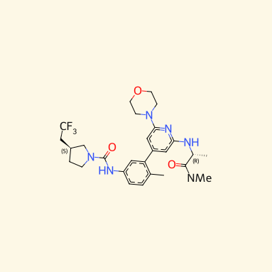 CNC(=O)[C@@H](C)Nc1cc(-c2cc(NC(=O)N3CC[C@@H](CC(F)(F)F)C3)ccc2C)cc(N2CCOCC2)n1